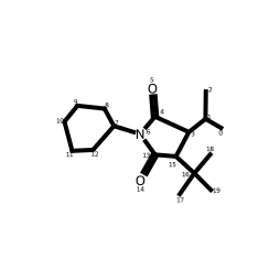 CC(C)C1C(=O)N(C2CCCCC2)C(=O)C1C(C)(C)C